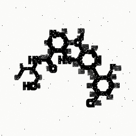 CCC(CO)NC(=O)c1cnccc1Nc1cc(-c2cc(Cl)ccc2F)ncc1OC